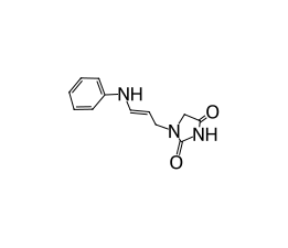 O=C1CN(CC=CNc2ccccc2)C(=O)N1